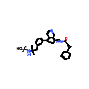 CC(C)(Cc1cccc(-c2ccc(CNC(=O)C3CC3c3ccccc3)c3cnccc23)c1)NC(=O)O